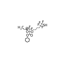 C=CC(=O)OC(OCCCCC(F)(F)C(F)(F)S)(C(=O)Oc1ccccc1)C(F)(F)F